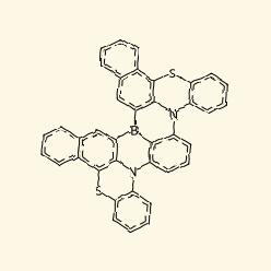 c1ccc2c(c1)Sc1c3c(cc4ccccc14)B1c4cc5ccccc5c5c4N(c4ccccc4S5)c4cccc(c41)N23